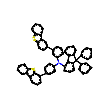 c1ccc(C2(c3ccccc3)c3ccccc3-c3c(N(c4ccc(-c5cccc6c5sc5ccccc56)cc4)c4cccc(-c5ccc6sc7ccccc7c6c5)c4)cccc32)cc1